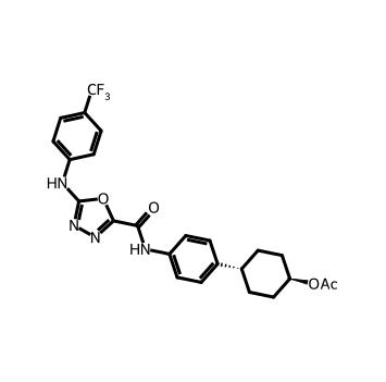 CC(=O)O[C@H]1CC[C@H](c2ccc(NC(=O)c3nnc(Nc4ccc(C(F)(F)F)cc4)o3)cc2)CC1